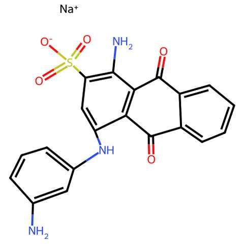 Nc1cccc(Nc2cc(S(=O)(=O)[O-])c(N)c3c2C(=O)c2ccccc2C3=O)c1.[Na+]